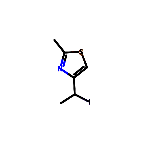 Cc1nc(C(C)I)cs1